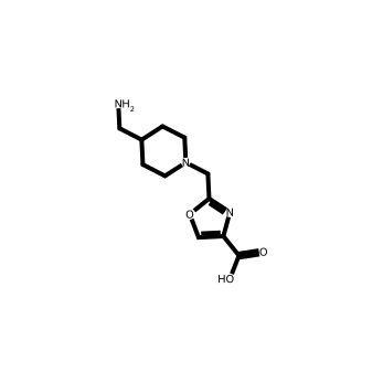 NCC1CCN(Cc2nc(C(=O)O)co2)CC1